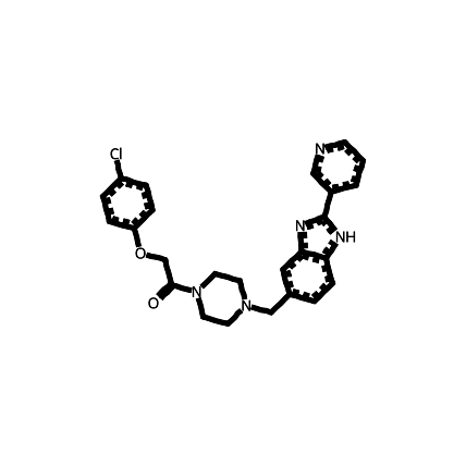 O=C(COc1ccc(Cl)cc1)N1CCN(Cc2ccc3[nH]c(-c4cccnc4)nc3c2)CC1